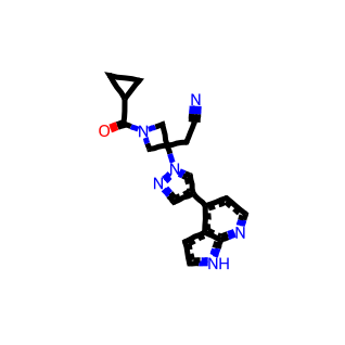 N#CCC1(n2cc(-c3ccnc4[nH]ccc34)cn2)CN(C(=O)C2CC2)C1